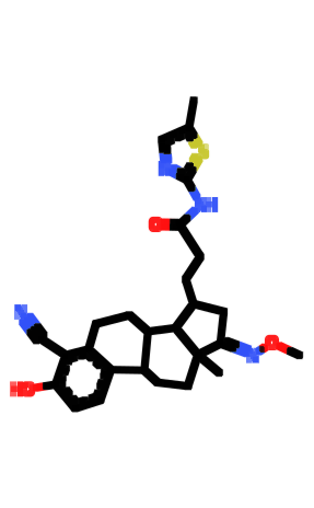 CO/N=C1\CC(CCC(=O)Nc2ncc(C)s2)C2C3CCc4c(ccc(O)c4C#N)C3CCC12C